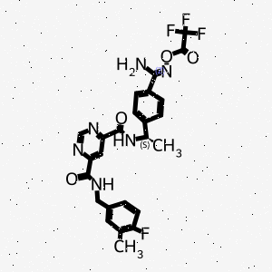 Cc1cc(CNC(=O)c2cc(C(=O)N[C@@H](C)c3ccc(/C(N)=N/OC(=O)C(F)(F)F)cc3)ncn2)ccc1F